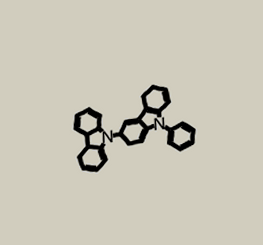 C1=CCC2C(=C1)N(C1C=c3c4c(n(-c5ccccc5)c3=CC1)C=CCC4)C1C=CC=CC21